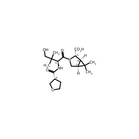 CC(C)(CO)[C@H](NC(=O)[C@@H]1CCOC1)C(=O)N1C[C@H]2[C@@H]([C@H]1C(=O)O)C2(C)C